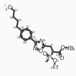 CCOP(C)(=O)C(Cc1nc(-c2ccc(CCCCC(F)(F)F)cc2)no1)C(=O)OC(C)(C)C